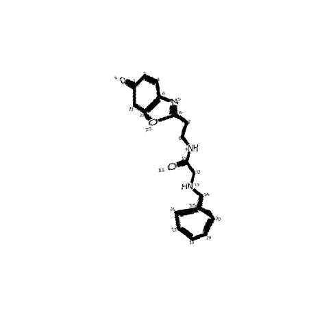 O=C1C=Cc2nc(CCNC(=O)CNCc3ccccc3)oc2C1